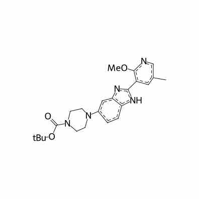 COc1ncc(C)cc1-c1nc2cc(N3CCN(C(=O)OC(C)(C)C)CC3)ccc2[nH]1